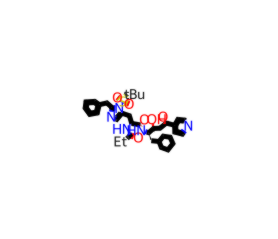 CCC(=O)NC(Cc1cnc(Cc2ccccc2)n1S(=O)(=O)C(C)(C)C)C(=O)N[C@@H](CC1CCCCC1)[C@@H](O)CC(=O)c1ccncc1